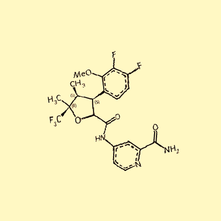 COc1c([C@H]2C(C(=O)Nc3ccnc(C(N)=O)c3)O[C@@](C)(C(F)(F)F)[C@H]2C)ccc(F)c1F